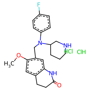 COc1cc2c(cc1CN(c1ccc(F)cc1)C1CCCNC1)NC(=O)CC2.Cl.Cl